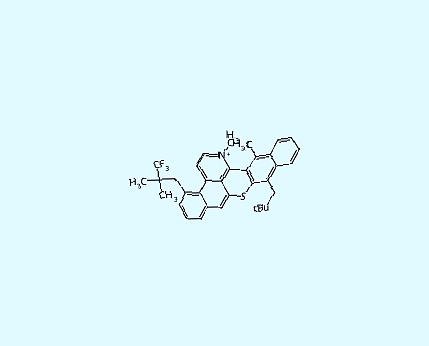 Cc1c2c(c(CC(C)(C)C)c3ccccc13)Sc1cc3cccc(CC(C)(C)C(F)(F)F)c3c3cc[n+](C)c-2c13